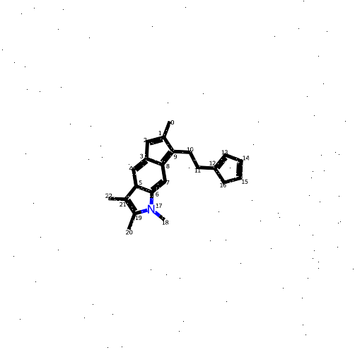 CC1=CC2=CC3C(=CC2=C1CCC1=CC=CC1)N(C)C(C)=C3C